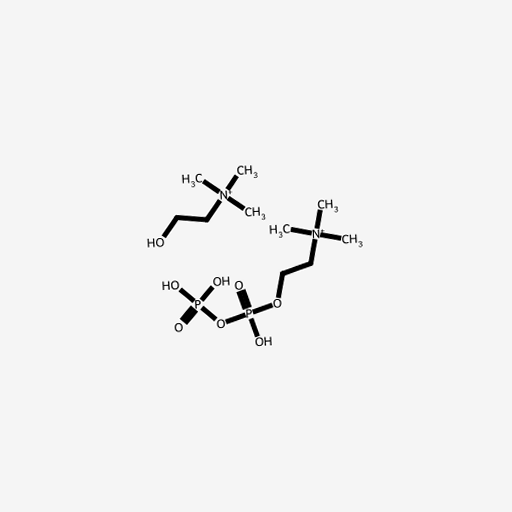 C[N+](C)(C)CCO.C[N+](C)(C)CCOP(=O)(O)OP(=O)(O)O